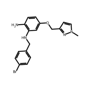 Cn1ccc(COc2ccc(N)c(NCc3ccc(Br)cc3)c2)n1